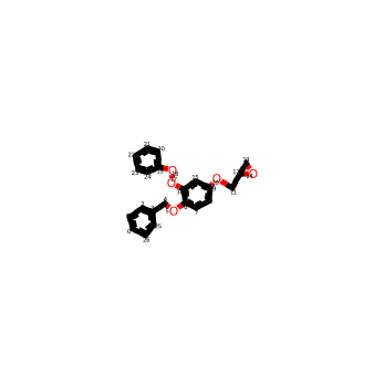 c1ccc(COc2ccc(OCC3CO3)cc2OOc2ccccc2)cc1